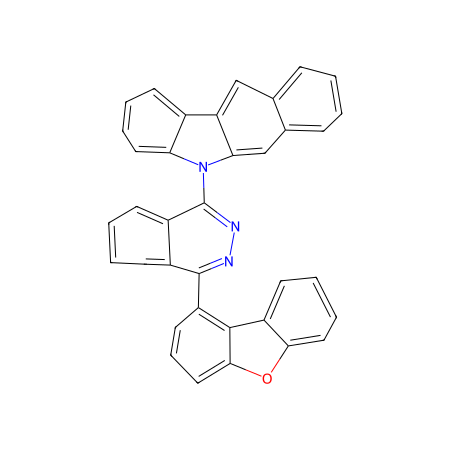 c1ccc2cc3c(cc2c1)c1ccccc1n3-c1nnc(-c2cccc3oc4ccccc4c23)c2ccccc12